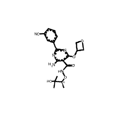 C[C@H](ONC(=O)c1c(N)nc(-c2cccc(C#N)c2)nc1OC1COC1)C(C)(C)O